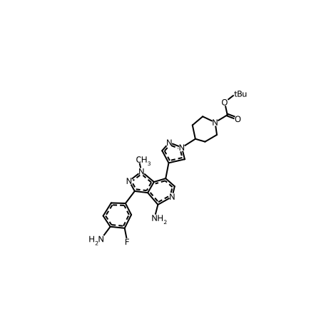 Cn1nc(-c2ccc(N)c(F)c2)c2c(N)ncc(-c3cnn(C4CCN(C(=O)OC(C)(C)C)CC4)c3)c21